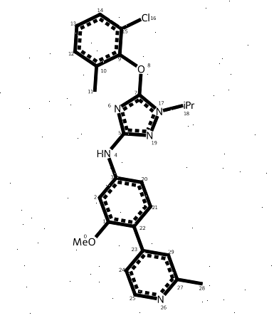 COc1cc(Nc2nc(Oc3c(C)cccc3Cl)n(C(C)C)n2)ccc1-c1ccnc(C)c1